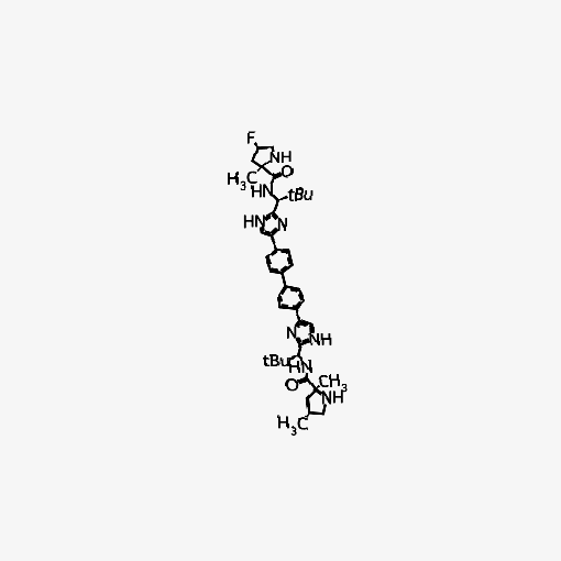 C[C@H]1CN[C@](C)(C(=O)N[C@H](c2nc(-c3ccc(-c4ccc(-c5c[nH]c([C@@H](NC(=O)[C@]6(C)C[C@@H](F)CN6)C(C)(C)C)n5)cc4)cc3)c[nH]2)C(C)(C)C)C1